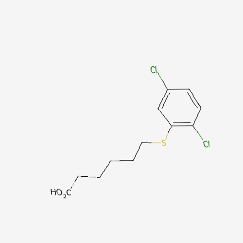 O=C(O)CCCCCSc1cc(Cl)ccc1Cl